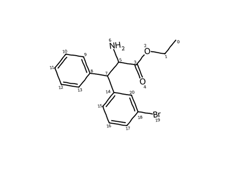 CCOC(=O)C(N)C(c1ccccc1)c1cccc(Br)c1